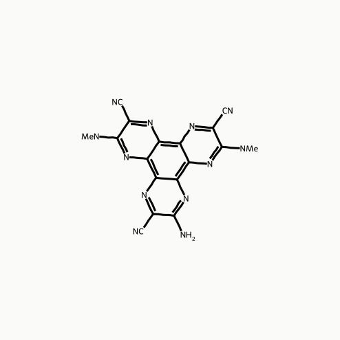 CNc1nc2c3nc(N)c(C#N)nc3c3nc(NC)c(C#N)nc3c2nc1C#N